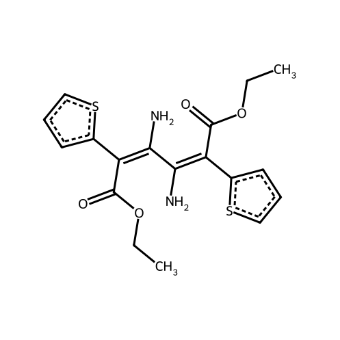 CCOC(=O)/C(=C(N)\C(N)=C(/C(=O)OCC)c1cccs1)c1cccs1